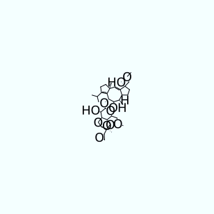 COCC1O[C@H](O[C@@H]2C3=C(C(C)C)CC[C@]3(C)/C=C3\[C@@H](CC[C@]3(O)COC)[C@@H](C)[C@H]2O)C(O)C2OC3O[C@]12O[C@@]3(C)C1CO1